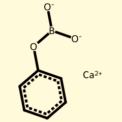 [Ca+2].[O-]B([O-])Oc1ccccc1